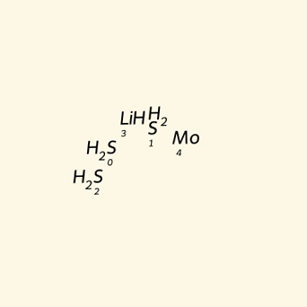 S.S.S.[LiH].[Mo]